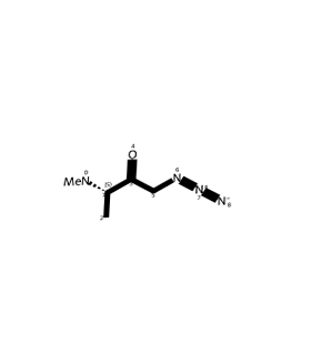 CN[C@@H](C)C(=O)CN=[N+]=[N-]